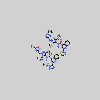 CCc1nc(Cn2nc(C(F)(F)F)c(NC(=O)c3cc(-c4ncnn4C)nc4ccccc34)c2C)no1.Cc1nn(Cc2ccn(C)n2)c(C)c1NC(=O)c1cc(-c2nccs2)nc2ccccc12